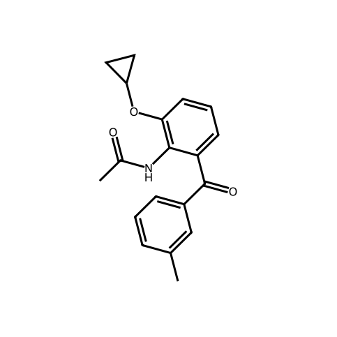 CC(=O)Nc1c(OC2CC2)cccc1C(=O)c1cccc(C)c1